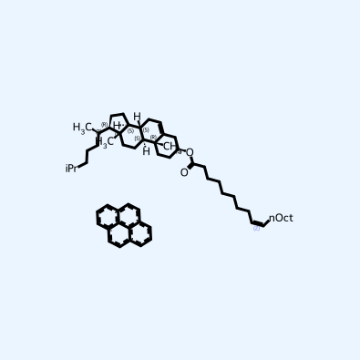 CCCCCCCC/C=C\CCCCCCCC(=O)O[C@H]1CC[C@@]2(C)C(=CC[C@H]3[C@@H]4CC[C@H]([C@H](C)CCCC(C)C)[C@@]4(C)CC[C@@H]32)C1.c1cc2ccc3cccc4ccc(c1)c2c34